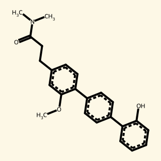 COc1cc(CCC(=O)N(C)C)ccc1-c1ccc(-c2ccccc2O)cc1